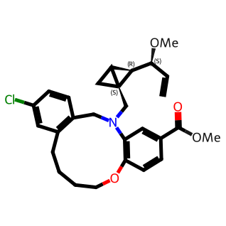 C=C[C@H](OC)[C@@H]1C2C[C@]21CN1Cc2ccc(Cl)cc2CCCCOc2ccc(C(=O)OC)cc21